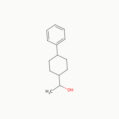 CC(O)C1CCC(c2ccccc2)CC1